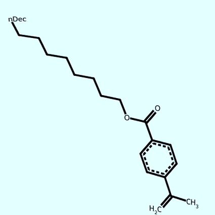 C=C(C)c1ccc(C(=O)OCCCCCCCCCCCCCCCCCC)cc1